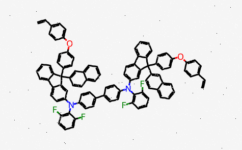 C=Cc1ccc(Oc2ccc(C3(c4ccc5ccccc5c4)c4ccccc4-c4ccc(N(c5ccc(-c6ccc(N(c7ccc8c(c7)C(c7ccc(Oc9ccc(C=C)cc9)cc7)(c7ccc9ccccc9c7)c7ccccc7-8)c7c(F)cccc7F)cc6)cc5)c5c(F)cccc5F)cc43)cc2)cc1